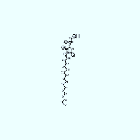 CCCCCCCCCCCCCCCC/C=C/N1C(=O)CC([S+]([O-])CCO)C1=O